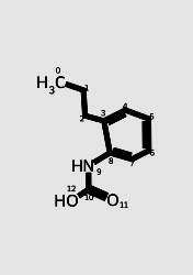 CCCc1ccccc1NC(=O)O